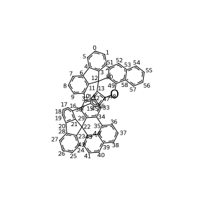 c1ccc2c(c1)-c1ccccc1C21c2cc(-c3cccc4c3C3(c5ccccc5-4)c4ccccc4-c4cccc5cccc3c45)ccc2Oc2c1ccc1ccccc21